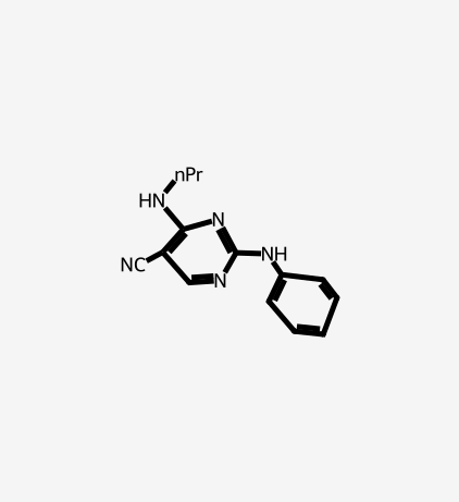 CCCNc1nc(Nc2ccccc2)ncc1C#N